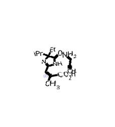 C#CCN.CCC1(C(C)C)N=C(/C=C(/C)C(=O)O)NC1=O